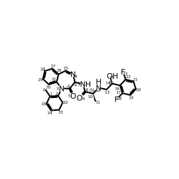 CC1=C(N2C(=O)C(NC(=O)[C@H](C)NC[C@@H](O)c3c(F)cccc3F)N=Cc3ccccc32)CCC=C1